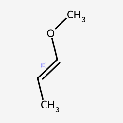 C/C=C/OC